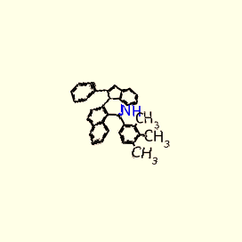 Cc1ccc(C(=N)c2c(C3C(c4ccccc4)=Cc4ccccc43)ccc3ccccc23)c(C)c1C